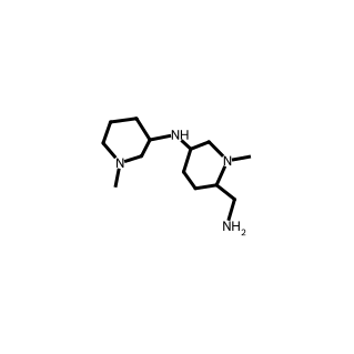 CN1CCCC(NC2CCC(CN)N(C)C2)C1